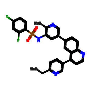 COCc1ccc(-c2ccnc3ccc(-c4cnc(OC)c(NS(=O)(=O)c5ccc(F)cc5F)c4)cc23)cn1